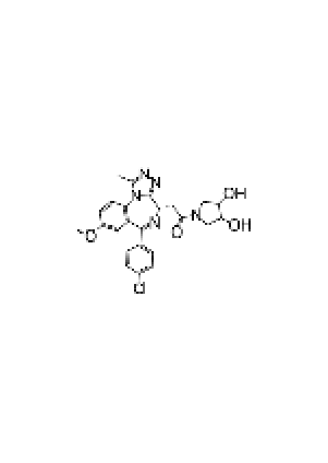 COc1ccc2c(c1)C(c1ccc(Cl)cc1)=N[C@@H](CC(=O)N1CC(O)C(O)C1)c1nnc(C)n1-2